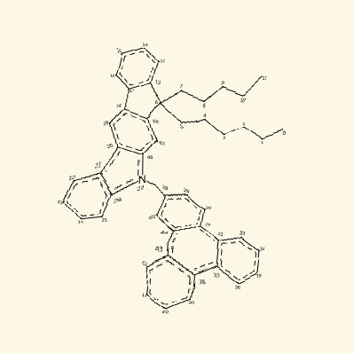 CCCCCCC1(CCCCC)c2ccccc2-c2cc3c4ccccc4n(-c4ccc5c6ccccc6c6ccccc6c5c4)c3cc21